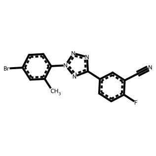 Cc1cc(Br)ccc1-n1nnc(-c2ccc(F)c(C#N)c2)n1